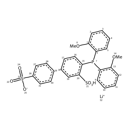 COc1ccccc1P(c1ccccc1OC)c1ccccc1S(=O)(=O)O.O=S(=O)([O-])c1ccccc1.[Li+]